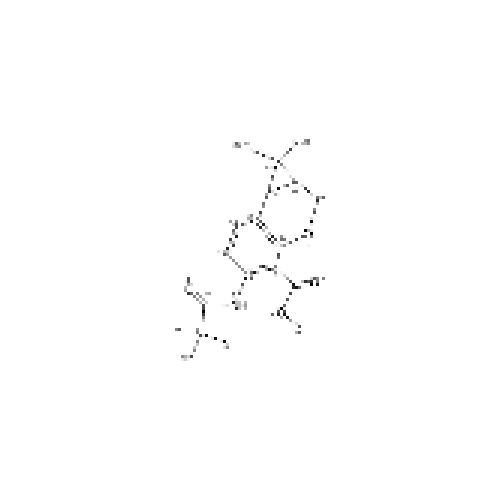 COC(=O)c1c(NC(=O)C(C)(C)C)ccc2c1OCC1C2C1(F)F